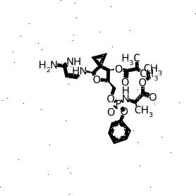 CCOC(=O)[C@H](C)NP(=O)(OC[C@H]1O[C@@H](N/C=C\C(=N)N)C2(CC2)[C@@H]1OC(=O)C(C)C)Oc1ccccc1